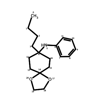 CCCCC1(Nc2ccccc2)CCC2(CC1)OCCO2